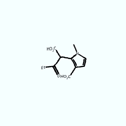 CCC(=O)C(C(=O)O)c1c(C(=O)O)ccn1C